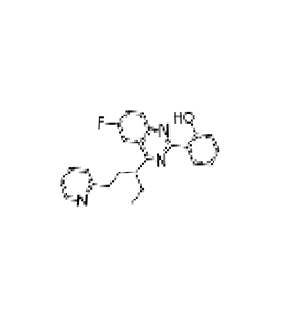 CCC(CCc1ccccn1)c1nc(-c2ccccc2O)nc2ccc(F)cc12